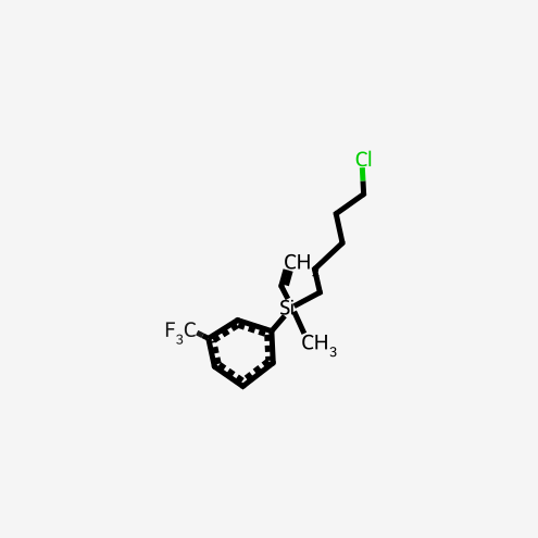 C=C[Si](C)(CCCCCCl)c1cccc(C(F)(F)F)c1